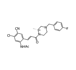 CC(=O)Nc1cc(Cl)c(C#N)cc1C=CC(=O)N1CCN(Cc2ccc(F)cc2)C[C@H]1C